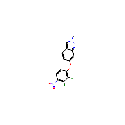 Cn1cc2ccc(Oc3ccc([N+](=O)[O-])c(F)c3Cl)cc2n1